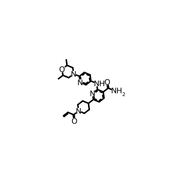 C=CC(=O)N1CCC(c2ccc(C(N)=O)c(Nc3ccc(N4CC(C)OC(C)C4)nc3)n2)CC1